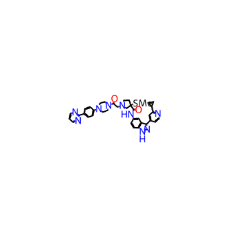 CSC1(C(=O)Nc2ccc3[nH]nc(-c4ccnc(C5CC5)c4)c3c2)CCN(CC(=O)N2CCN(c3ccc(-c4ncccn4)cc3)CC2)C1